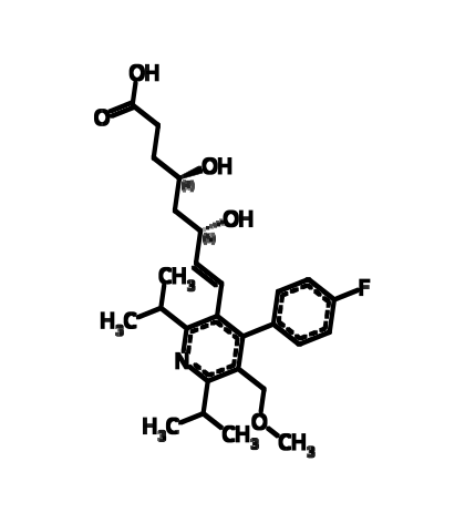 COCc1c(C(C)C)nc(C(C)C)c(C=C[C@@H](O)C[C@H](O)CCC(=O)O)c1-c1ccc(F)cc1